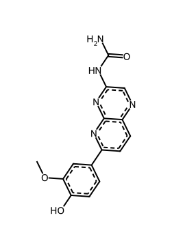 COc1cc(-c2ccc3ncc(NC(N)=O)nc3n2)ccc1O